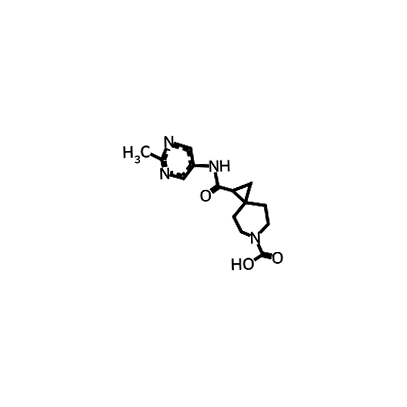 Cc1ncc(NC(=O)C2CC23CCN(C(=O)O)CC3)cn1